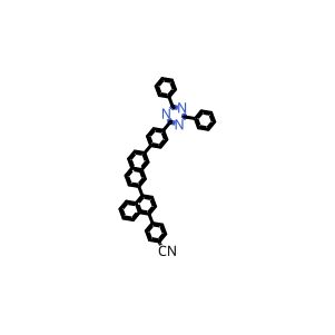 N#Cc1ccc(-c2ccc(-c3ccc4ccc(-c5ccc(-c6nc(-c7ccccc7)nc(-c7ccccc7)n6)cc5)cc4c3)c3ccccc23)cc1